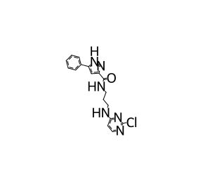 O=C(NCCCNc1ccnc(Cl)n1)c1cc(-c2ccccc2)[nH]n1